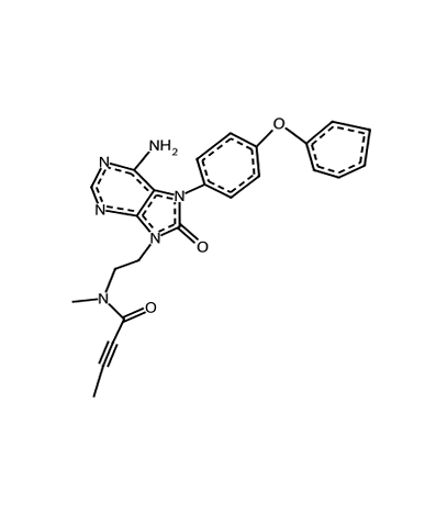 CC#CC(=O)N(C)CCn1c(=O)n(-c2ccc(Oc3ccccc3)cc2)c2c(N)ncnc21